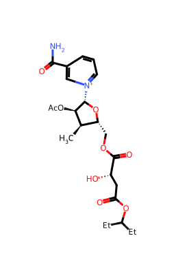 CCC(CC)OC(=O)C[C@H](O)C(=O)OC[C@H]1O[C@@H]([n+]2cccc(C(N)=O)c2)[C@H](OC(C)=O)[C@@H]1C